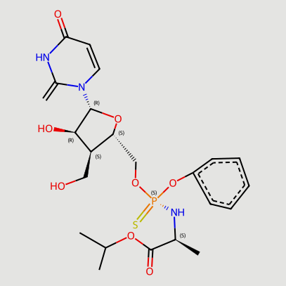 C=C1NC(=O)C=CN1[C@@H]1O[C@H](CO[P@@](=S)(N[C@@H](C)C(=O)OC(C)C)Oc2ccccc2)[C@@H](CO)[C@H]1O